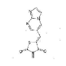 O=C1NC(=O)/C(=C/c2cnc3nccn3c2)S1